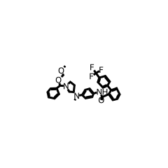 COCOC(c1ccccc1)N1CCC(N(C)c2ccc(NC(=O)c3ccccc3-c3ccc(C(F)(F)F)cc3)cc2)C1